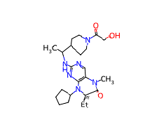 CC[C@@H]1C(=O)N(C)c2cnc(NC(C)C3CCN(C(=O)CO)CC3)nc2N1C1CCCC1